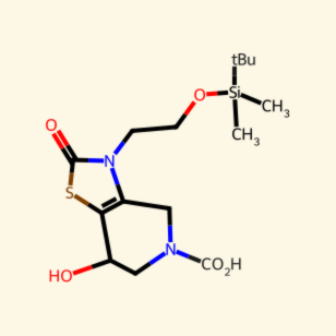 CC(C)(C)[Si](C)(C)OCCn1c2c(sc1=O)C(O)CN(C(=O)O)C2